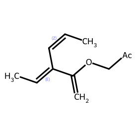 C=C(OCC(C)=O)C(/C=C\C)=C/C